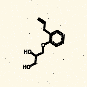 C=CCc1ccccc1OCC(O)[CH]O